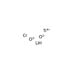 [Cr].[LiH].[O-2].[O-2].[Ti+4]